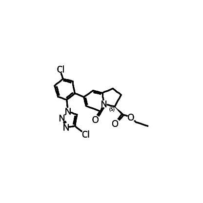 CCOC(=O)[C@@H]1CCc2cc(-c3cc(Cl)ccc3-n3cc(Cl)nn3)cc(=O)n21